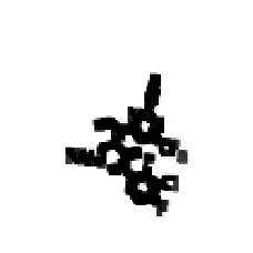 C=CN(c1cc(C(F)(F)F)nc(C#CC)n1)C(CNC)C(=C)N(C)c1ccc(F)c(Cl)c1F